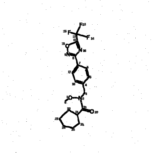 CON(Cc1ccc(-c2noc(C(F)(F)F)n2)cc1)C(=O)C1CCCCC1